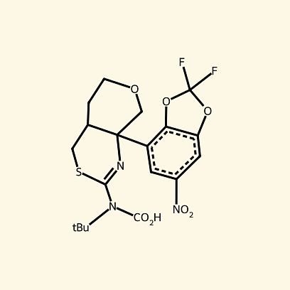 CC(C)(C)N(C(=O)O)C1=NC2(c3cc([N+](=O)[O-])cc4c3OC(F)(F)O4)COCCC2CS1